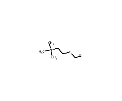 C[N+](C)(C)CCOC[18F]